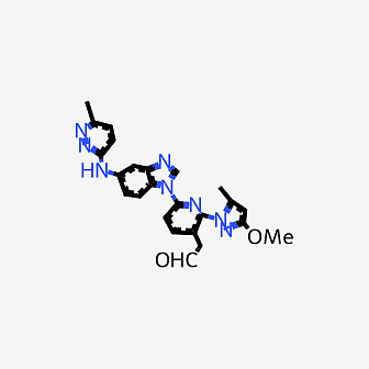 COc1cc(C)n(-c2nc(-n3cnc4cc(Nc5ccc(C)nn5)ccc43)ccc2CC=O)n1